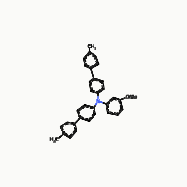 COc1cccc(N(c2ccc(-c3ccc(C)cc3)cc2)c2ccc(-c3ccc(C)cc3)cc2)c1